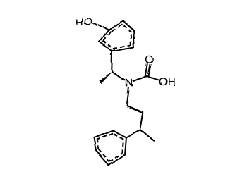 CC(CCN(C(=O)O)[C@@H](C)c1cccc(O)c1)c1ccccc1